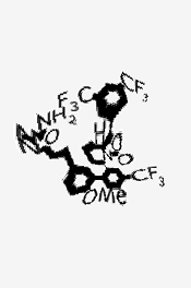 COc1ccc(CCc2nnc(N)o2)cc1-c1ccc(C(F)(F)F)cc1[C@@H]1CCC[C@H]2[C@@H](c3cc(C(F)(F)F)cc(C(F)(F)F)c3)OC(=O)N12